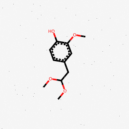 COc1cc(CC(OC)OC)ccc1O